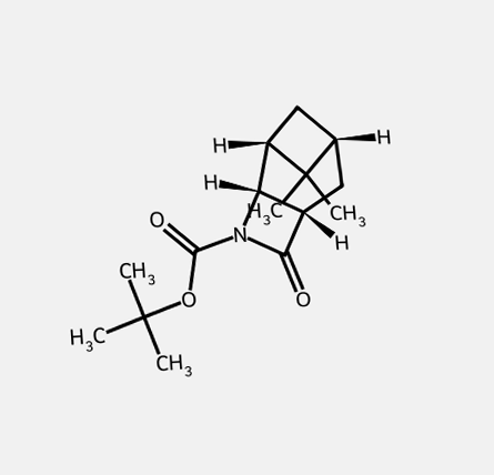 CC(C)(C)OC(=O)N1C(=O)[C@H]2C[C@H]3C[C@@H]([C@H]21)C3(C)C